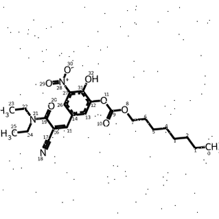 CCCCCCCCOC(=O)Oc1cc(C=C(C#N)C(=O)N(CC)CC)cc([N+](=O)[O-])c1O